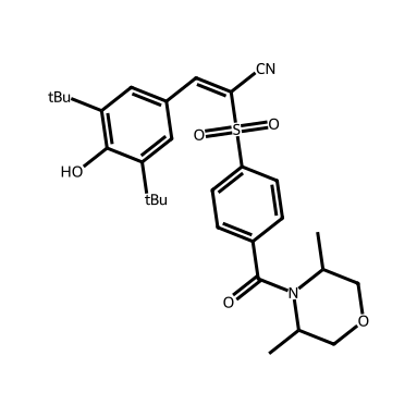 CC1COCC(C)N1C(=O)c1ccc(S(=O)(=O)/C(C#N)=C\c2cc(C(C)(C)C)c(O)c(C(C)(C)C)c2)cc1